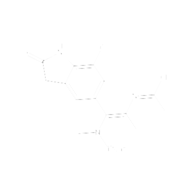 CCCC(C)N(C)/C(=C(C)/N=C(\C)C(F)(F)F)c1cc(Cl)c2c(c1)CC(=O)N2